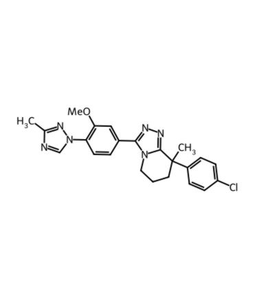 COc1cc(-c2nnc3n2CCCC3(C)c2ccc(Cl)cc2)ccc1-n1cnc(C)n1